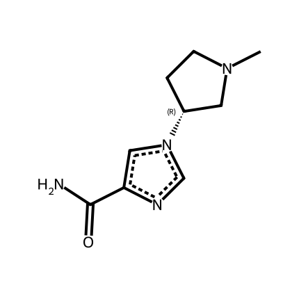 CN1CC[C@@H](n2cnc(C(N)=O)c2)C1